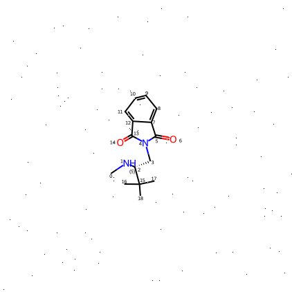 CN[C@H](CN1C(=O)c2ccccc2C1=O)C(C)(C)C